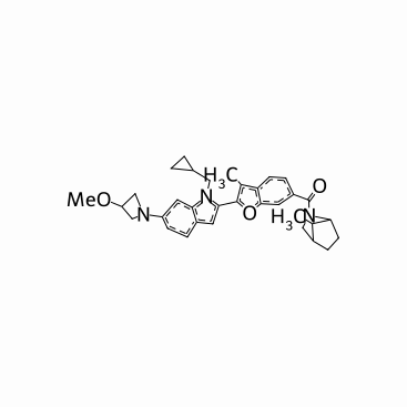 COC1CN(c2ccc3cc(-c4oc5cc(C(=O)N6CC7CCC6C7C)ccc5c4C)n(CC4CC4)c3c2)C1